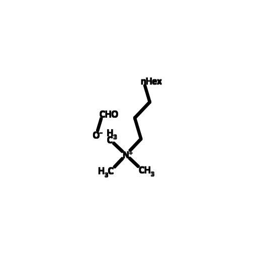 CCCCCCCCC[N+](C)(C)C.O=C[O-]